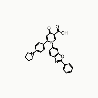 O=C(O)c1cn(-c2ccc3nc(-c4ccccc4)oc3c2)c(-c2ccc(N3CCCC3)cc2)cc1=O